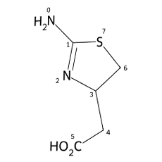 NC1=NC(CC(=O)O)CS1